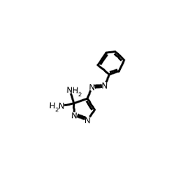 NC1(N)N=NC=C1N=Nc1ccccc1